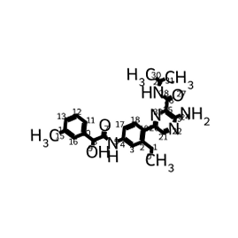 CCc1cc(NC(=O)C(O)c2cccc(C)c2)ccc1-c1cnc(N)c(C(=O)NC(C)C)n1